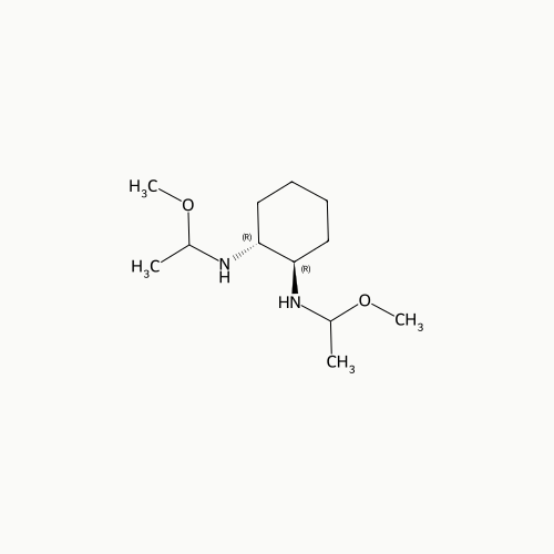 COC(C)N[C@@H]1CCCC[C@H]1NC(C)OC